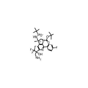 CC(C)(C)OC(=O)N1C[C@@](C)(N[S+]([O-])C(C)(C)C)c2cc(C(O)(CN)C(F)(F)F)nc(-c3ccc(F)cc3)c21